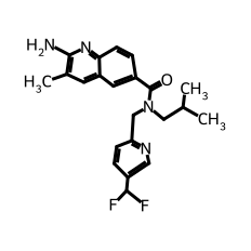 Cc1cc2cc(C(=O)N(Cc3ccc(C(F)F)cn3)CC(C)C)ccc2nc1N